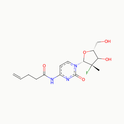 C=CCCC(=O)Nc1ccn([C@@H]2O[C@H](CO)C(O)[C@]2(C)F)c(=O)n1